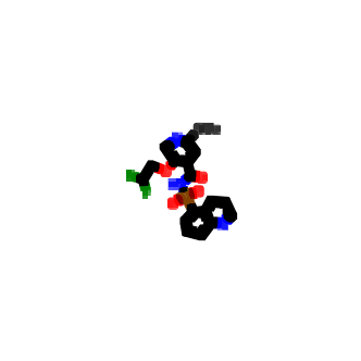 COc1cc(C(=O)NS(=O)(=O)c2cccc3ncccc23)c(OCC(F)F)cn1